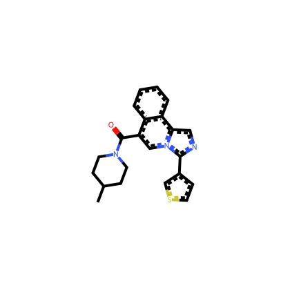 CC1CCN(C(=O)c2cn3c(-c4ccsc4)ncc3c3ccccc23)CC1